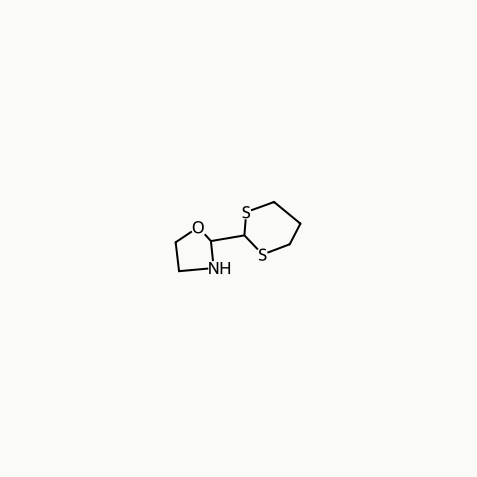 C1CSC(C2NCCO2)SC1